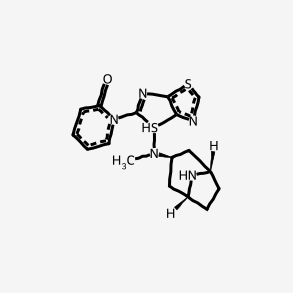 CN([C@@H]1C[C@H]2CC[C@@H](C1)N2)[SH]1C(n2ccccc2=O)=Nc2scnc21